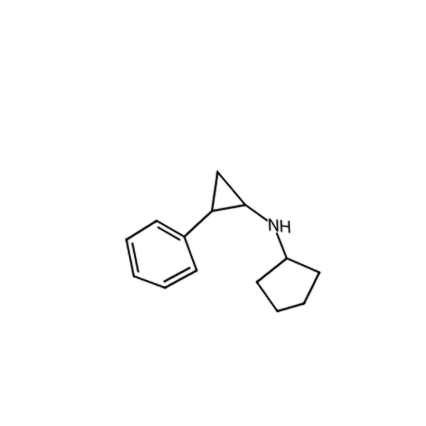 c1ccc(C2CC2NC2CCCC2)cc1